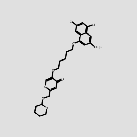 CCOC(=O)c1cc(OCCCCCOc2coc(COC3CCCCO3)cc2=O)c2cc(Cl)cc(Cl)c2c1